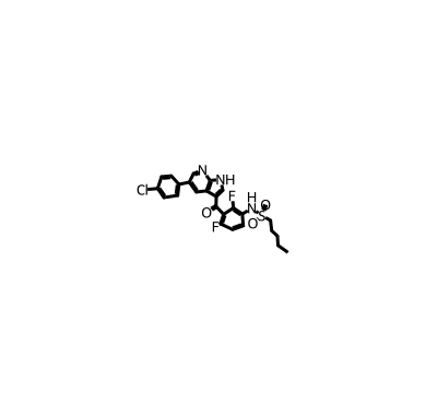 CCCCCS(=O)(=O)Nc1ccc(F)c(C(=O)c2c[nH]c3ncc(-c4ccc(Cl)cc4)cc23)c1F